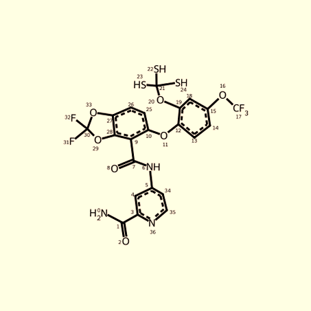 NC(=O)c1cc(NC(=O)c2c(Oc3ccc(OC(F)(F)F)cc3OC(S)(S)S)ccc3c2OC(F)(F)O3)ccn1